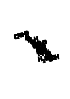 CCOP(=O)(O)CC1CCN(CC[C@H](CSc2ccccc2)Nc2ccc(S(=O)(=O)NC(=O)c3ccc(N4CCN(Cc5ccccc5-c5ccc(Cl)cc5)CC4)cc3)cc2S(=O)(=O)C(F)(F)F)CC1